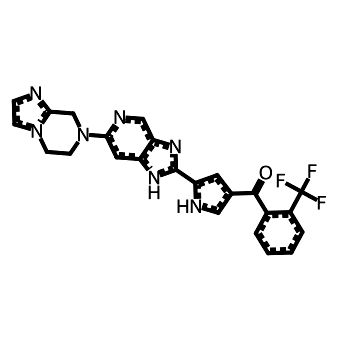 O=C(c1c[nH]c(-c2nc3cnc(N4CCn5ccnc5C4)cc3[nH]2)c1)c1ccccc1C(F)(F)F